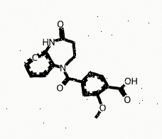 COc1cc(C(=O)N2CCC(=O)Nc3ccccc32)ccc1C(=O)O